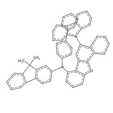 CC1(C)c2ccccc2-c2ccc(N(c3ccc(-c4ccccc4)cc3)c3cccc4oc5c6ccccc6c(-n6c7ccccc7c7ccccc76)cc5c34)cc21